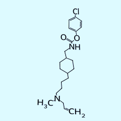 C=CCN(C)CCCCC1CCC(CNC(=O)Oc2ccc(Cl)cc2)CC1